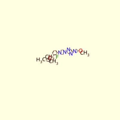 COC1CN(c2cnc(N3CCN(c4cccc(CO[Si]5(C)CC5(C)C)c4F)CC3)cn2)C1